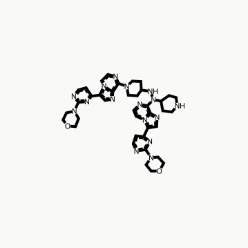 c1cc(-c2cnc3c(N4CCC(NN(c5nccn6c(-c7ccnc(N8CCOCC8)n7)cnc56)C5CCNCC5)CC4)nccn23)nc(N2CCOCC2)n1